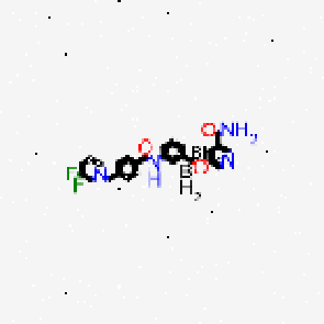 BC(B)(Oc1cncc(C(N)=O)c1)c1cccc(NC(=O)c2ccc(CN3CCCC(F)(F)C3)cc2)c1